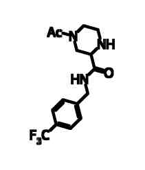 CC(=O)N1CCNC(C(=O)NCc2ccc(C(F)(F)F)cc2)C1